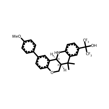 COc1ccc(-c2ccc3c(c2)[C@H]2Nc4ccc(C(O)(C(F)(F)F)C(F)(F)F)cc4C(C)(C)[C@H]2CO3)cc1